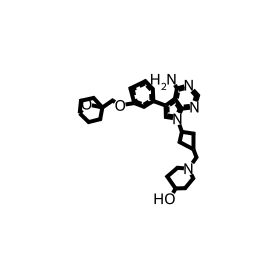 Nc1ncnc2c1c(-c1cccc(OCC34CCC(CC3)O4)c1)cn2C1CC(CN2CCC(O)CC2)C1